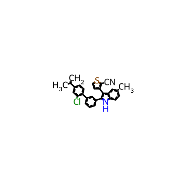 C=C(C)c1ccc(-c2cccc(-c3[nH]c4ccc(C)cc4c3-c3ccsc3C#N)c2)c(Cl)c1